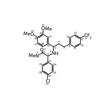 CNC(=O)C(NC(CCc1ccc(C(F)(F)F)cc1)c1ccc(OC)c(OC)c1)c1ccc(Cl)cc1